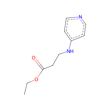 CCOC(=O)CCNc1ccncc1